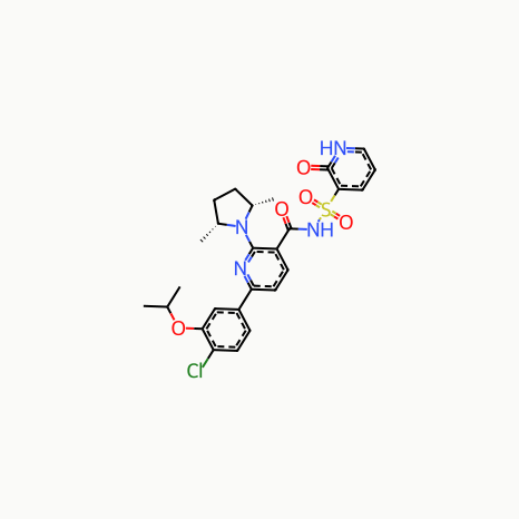 CC(C)Oc1cc(-c2ccc(C(=O)NS(=O)(=O)c3ccc[nH]c3=O)c(N3[C@H](C)CC[C@@H]3C)n2)ccc1Cl